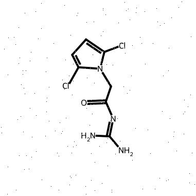 NC(N)=NC(=O)Cn1c(Cl)ccc1Cl